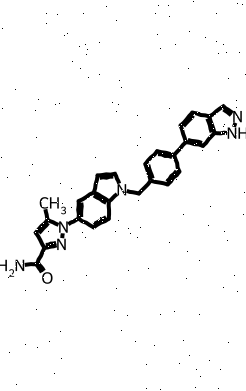 Cc1cc(C(N)=O)nn1-c1ccc2c(ccn2Cc2ccc(-c3ccc4cn[nH]c4c3)cc2)c1